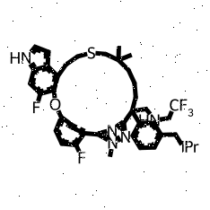 CC(C)Cc1cccc(C2(CNCC(F)(F)F)CCCC(C)(C)CSCCc3c(c(F)cc4[nH]ccc34)Oc3ccc(F)c(c3)-c3nc2nn3C)c1